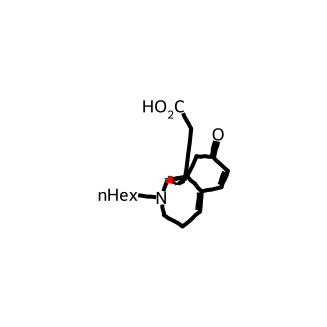 CCCCCCN1CCC=C2C=CC(=O)CC23CC(CC(=O)O)=CC=C13